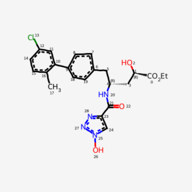 CCOC(=O)[C@H](O)C[C@@H](Cc1ccc(-c2cc(Cl)ccc2C)cc1)NC(=O)c1cn(O)nn1